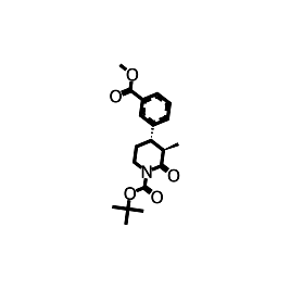 COC(=O)c1cccc([C@H]2CCN(C(=O)OC(C)(C)C)C(=O)[C@@H]2C)c1